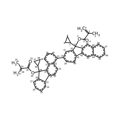 C=C(C)C(=O)OC1(C2CC2)c2cc(-c3cccc4c5c(ccc34)-c3ccccc3C5(OC(=O)C(=C)C)C3CC3)ccc2-c2cc3ccccc3cc21